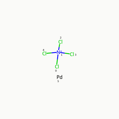 Cl[N+](Cl)(Cl)Cl.[Pd]